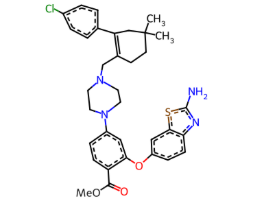 COC(=O)c1ccc(N2CCN(CC3=C(c4ccc(Cl)cc4)CC(C)(C)CC3)CC2)cc1Oc1ccc2nc(N)sc2c1